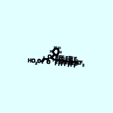 O=C(O)C=CC(=O)OC(CC(F)(F)C(F)(F)C(F)(F)C(F)(F)C(F)(F)C(F)(F)C(F)(F)C(F)(F)F)C1CCCCC1